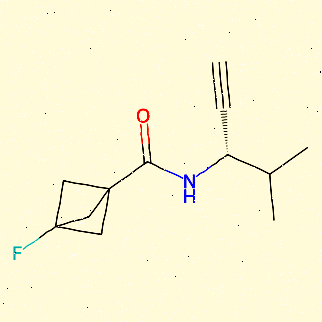 C#C[C@@H](NC(=O)C12CC(F)(C1)C2)C(C)C